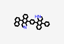 C1=c2c(-c3ccccc3)c3ccccc3c(-c3ccc(-c4c5ccccc5c(-c5cccc6ccccc56)c5ccncc45)cc3)c2=CNC1